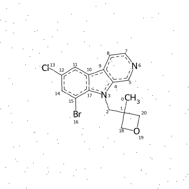 CC1(Cn2c3cnccc3c3cc(Cl)cc(Br)c32)COC1